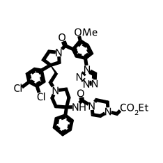 CCOC(=O)CN1CCN(C(=O)NC2(c3ccccc3)CCN(CC[C@@]3(c4ccc(Cl)c(Cl)c4)CCN(C(=O)c4cc(-n5cnnn5)ccc4OC)C3)CC2)CC1